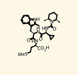 CSCC[C@@H](NC(=O)[C@@H](Cc1c(C)[nH]c2ccccc12)NC(=O)[C@@H](NC(=O)N1[C@H](C)CCC[C@@H]1C)C1CC1)C(=O)O